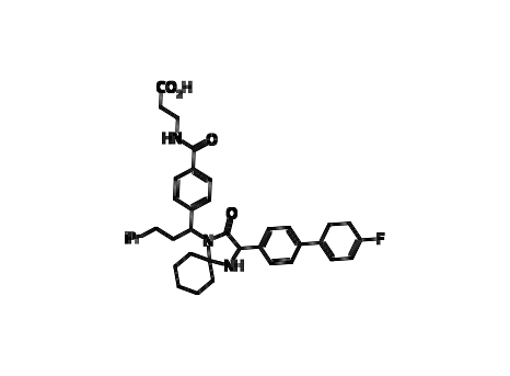 CC(C)CCC(c1ccc(C(=O)NCCC(=O)O)cc1)N1C(=O)C(c2ccc(C3=CC=C(F)CC3)cc2)NC12CCCCC2